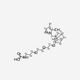 Cc1c(I)cnn1CC12CC3CC(C1)CC(OCCOCCOCCCNC(=O)O)(C3)C2